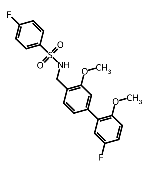 COc1cc(-c2cc(F)ccc2OC)ccc1CNS(=O)(=O)c1ccc(F)cc1